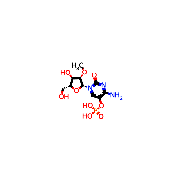 CO[C@@H]1[C@H](O)[C@@H](CO)O[C@H]1n1cc(OP(=O)(O)O)c(N)nc1=O